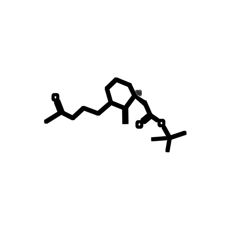 C=C1C(CCCC(C)=O)CCC[C@H]1CC(=O)OC(C)(C)C